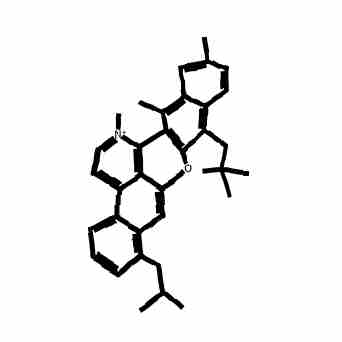 Cc1ccc2c(CC(C)(C)C)c3c(c(C)c2c1)-c1c2c(cc4c(CC(C)C)cccc4c2cc[n+]1C)O3